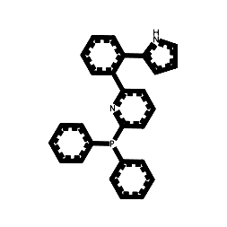 c1ccc(P(c2ccccc2)c2cccc(-c3ccccc3-c3ccc[nH]3)n2)cc1